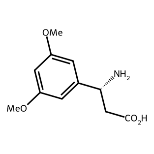 COc1cc(OC)cc([C@H](N)CC(=O)O)c1